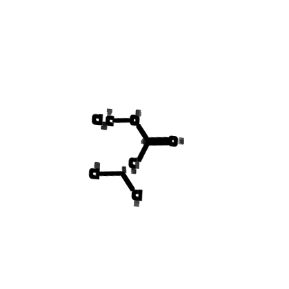 ClCCl.O=C(Cl)OC(Cl)(Cl)Cl